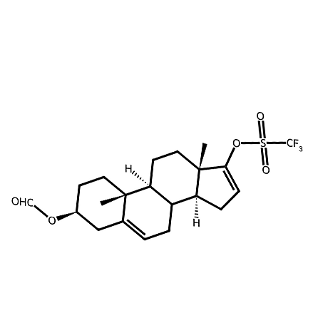 C[C@]12CC[C@H](OC=O)CC1=CCC1[C@@H]2CC[C@]2(C)C(OS(=O)(=O)C(F)(F)F)=CC[C@@H]12